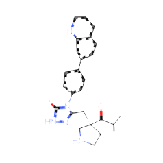 CC(C)C(=O)[C@]1(Cc2n[nH]c(=O)n2-c2ccc(-c3ccc4cccnc4c3)cc2)CCNC1